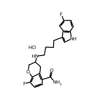 Cl.NC(=O)c1ccc(F)c2c1CC(NCCCCc1c[nH]c3ccc(F)cc13)CO2